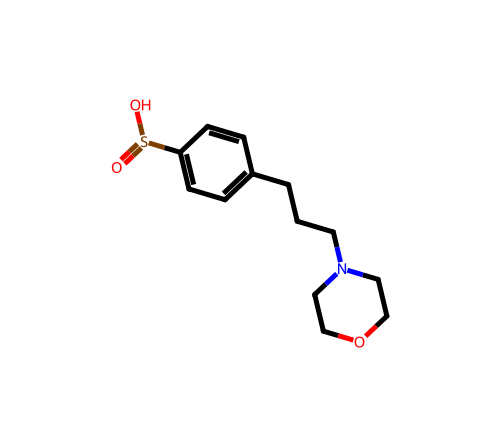 O=S(O)c1ccc(CCCN2CCOCC2)cc1